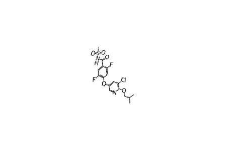 CC(C)COc1ncc(Oc2cc(F)c(C(=O)NS(C)(=O)=O)cc2F)cc1Cl